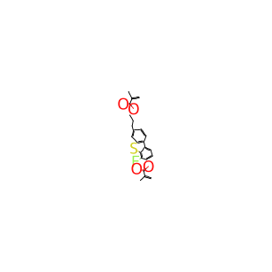 C=C(C)C(=O)OCCCc1ccc2c(c1)sc1c(F)c(OC(=O)C(=C)C)ccc12